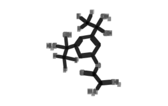 C=C(C)C(=O)Oc1cc(C(C)(O)C(F)(F)F)cc(C(C)(O)C(F)(F)F)c1